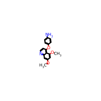 COc1cc(OC)c2c(Oc3ccc(N)cc3)ccnc2c1